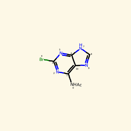 CC(=O)Nc1nc(Br)nc2[nH]cnc12